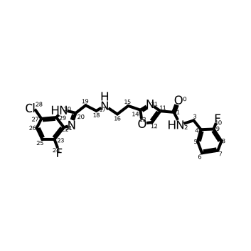 O=C(NCc1ccccc1F)c1coc(CCNCCc2nc3c(F)ccc(Cl)c3[nH]2)n1